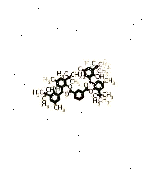 Cc1cc(Cc2cc(C)cc(C(C)(C)C)c2OC(=O)c2cccc(C(=O)Oc3c(Cc4cc(C)cc(C(C)(C)C)c4O)cc(C)cc3C(C)(C)C)c2)c(O)c(C(C)(C)C)c1